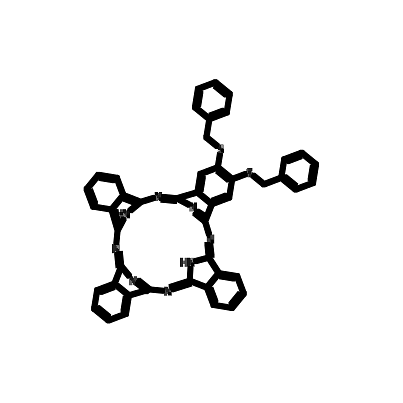 c1ccc(CSc2cc3c(cc2SCc2ccccc2)-c2nc-3nc3[nH]c(nc4nc(nc5[nH]c(n2)c2ccccc52)-c2ccccc2-4)c2ccccc32)cc1